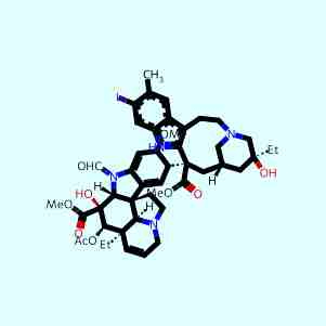 CC[C@]1(O)C[C@H]2CN(CCc3c([nH]c4cc(I)c(C)cc34)[C@@](C(=O)OC)(C3C=C4C(=CC3OC)N(C=O)[C@H]3[C@@](O)(C(=O)OC)[C@H](OC(C)=O)[C@]5(CC)C=CCN6CC[C@]43[C@@H]65)C2)C1